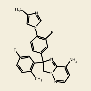 Cc1cn(-c2ccc(C3(c4cc(F)ccc4C)CN4N=CC=C(N)C4=N3)cc2F)cn1